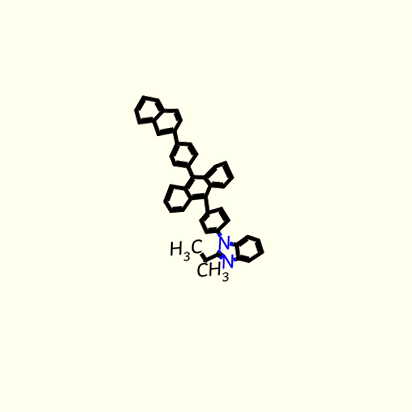 CC(C)c1nc2ccccc2n1-c1ccc(-c2c3ccccc3c(-c3ccc(-c4ccc5ccccc5c4)cc3)c3ccccc23)cc1